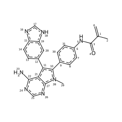 C=C(C)C(=O)Nc1ccc(-c2c(-c3ccc4nc[nH]c4c3)c3c(N)ncnc3n2C)cc1